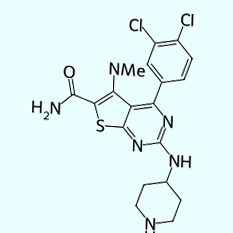 CNc1c(C(N)=O)sc2nc(NC3CCNCC3)nc(-c3ccc(Cl)c(Cl)c3)c12